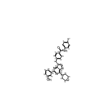 O=C(Nc1ccc(F)cc1)c1ccc(Cn2nnc3c(N4CCOCC4)nc(-c4cccc(O)c4)nc32)cc1